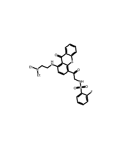 CCN(CC)CCNc1ccc(C(=O)CNS(=O)(=O)c2ccccc2F)c2sc3ccccc3c(=O)c12